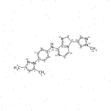 Cc1cc(C)n(-c2ccc(NC3=NC=CN4C3=NCC4c3cnn(C)c3)cc2)n1